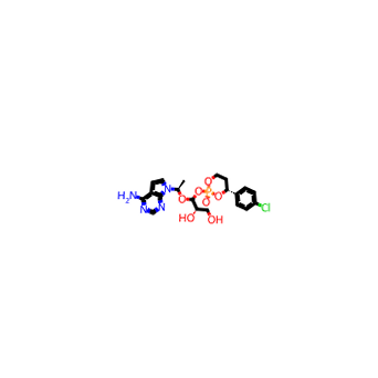 C[C@@H](OC(OP1(=O)OCC[C@H](c2ccc(Cl)cc2)O1)[C@@H](O)CO)n1ccc2c(N)ncnc21